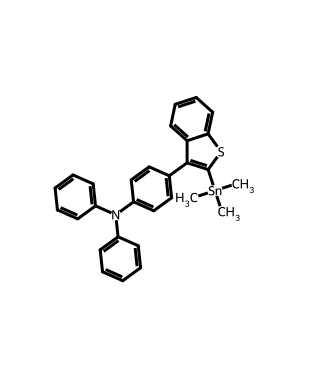 [CH3][Sn]([CH3])([CH3])[c]1sc2ccccc2c1-c1ccc(N(c2ccccc2)c2ccccc2)cc1